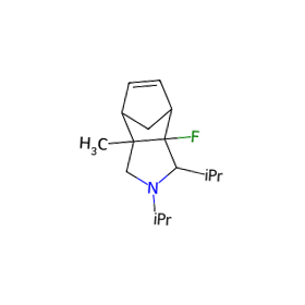 CC(C)C1N(C(C)C)CC2(C)C3C=CC(C3)C12F